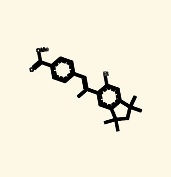 CCc1cc2c(cc1C(C)=Cc1ccc(C(=O)OC)cc1)C(C)(C)CC2(C)C